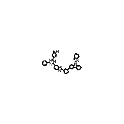 C1=C[C@H]2CC2C=C1c1nc(-c2ccccc2)nc(-c2ccc3nc(-c4cccc(-c5ccc6c(c5)c5ccccc5n6-c5nc6ccccc6s5)c4)sc3c2)n1